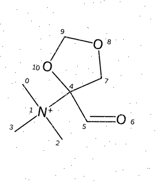 C[N+](C)(C)C1(C=O)COCO1